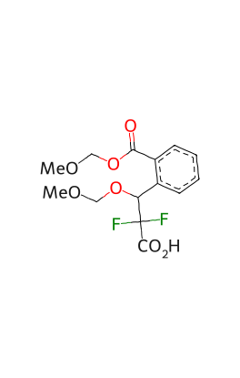 COCOC(=O)c1ccccc1C(OCOC)C(F)(F)C(=O)O